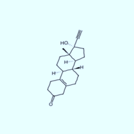 C#C[C@@]1(O)CC[C@H]2[C@@H]3CCC4=C(CCC(=O)C4)[C@H]3CC[C@@]21C